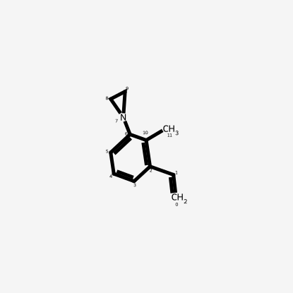 C=Cc1cccc(N2CC2)c1C